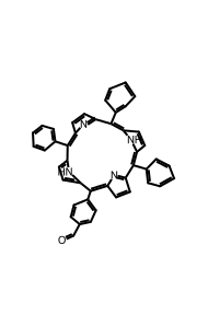 O=Cc1ccc(-c2c3nc(c(-c4ccccc4)c4ccc([nH]4)c(-c4ccccc4)c4nc(c(-c5ccccc5)c5ccc2[nH]5)C=C4)C=C3)cc1